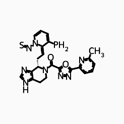 Cc1cccc(-c2nnc(C(=O)N3CCc4[nH]cnc4[C@@H]3C/C=C3/C(P)=CC=CN3N=S)o2)n1